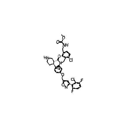 COC(=O)NCc1ccc(Cl)c(CN(C(=O)[C@H]2CNCC[C@@H]2c2ccc(OCc3cc(-c4c(F)ccc(F)c4Cl)no3)cc2)C2CC2)c1